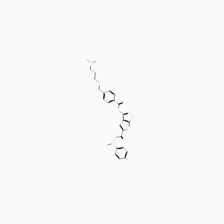 CN(C)CCCNCc1ccc(C(=O)Nc2n[nH]c3sc(C(=O)NN(C)c4ccc(Cl)cc4)cc23)cc1